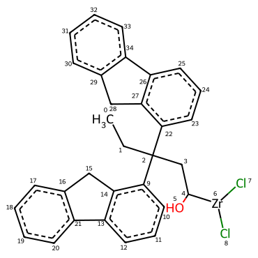 CCC(C[CH](O)[Zr]([Cl])[Cl])(c1cccc2c1Cc1ccccc1-2)c1cccc2c1Cc1ccccc1-2